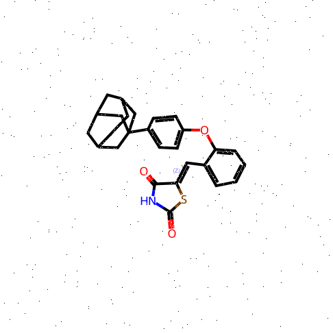 O=C1NC(=O)/C(=C/c2ccccc2Oc2ccc(C34CC5CC(CC(C5)C3)C4)cc2)S1